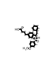 COc1ccc(S(=O)(=O)NC(Cc2ccccc2)c2ccc(CCCC(=O)O)cc2)cc1